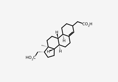 C[C@]12CC[C@H]3[C@@H](CCC4=CC(CC(=O)O)CC[C@@H]43)[C@@H]1CC[C@@H]2CC(=O)O